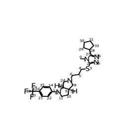 Cn1c(SCCCN2C[C@@H]3CCN(c4ccc(C(F)(F)F)cc4)[C@@H]3C2)nnc1C1CCCC1